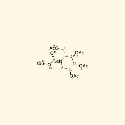 CC(=O)OC[C@@H]1[C@@H](OC(C)=O)[C@H](OC(C)=O)[C@@H](OC(C)=O)CN1C(=O)OC(C)(C)C